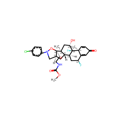 COC(=O)NCC(=O)[C@@]12ON(c3ccc(Cl)cc3)C[C@@H]1C[C@H]1[C@@H]3C[C@H](F)C4=CC(=O)C=C[C@]4(C)[C@@]3(F)[C@@H](O)C[C@@]12C